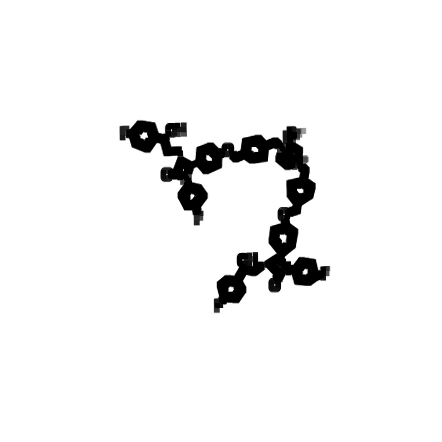 O=C1[C@H](CC[C@H](O)c2ccc(F)cc2)[C@@H](c2ccc(OCc3ccc(C[N+]45CC[N+](Cc6ccc(COc7ccc([C@@H]8[C@@H](CC[C@H](O)c9ccc(F)cc9)C(=O)N8c8ccc(F)cc8)cc7)cc6)(CC4)CC5)cc3)cc2)N1c1ccc(F)cc1.[Br-].[Br-]